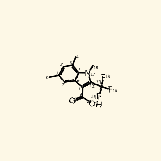 Cc1cc(C)c2c(c1)c(C(=O)O)c(C(F)(F)F)n2C